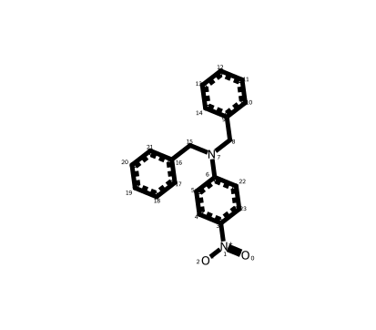 O=[N+]([O-])c1ccc(N(Cc2ccccc2)Cc2ccccc2)cc1